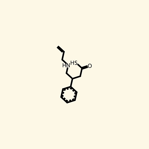 C=CCNCC(CC(=O)S)c1ccccc1